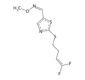 CO/N=C\c1cnc(SCCC=C(F)F)s1